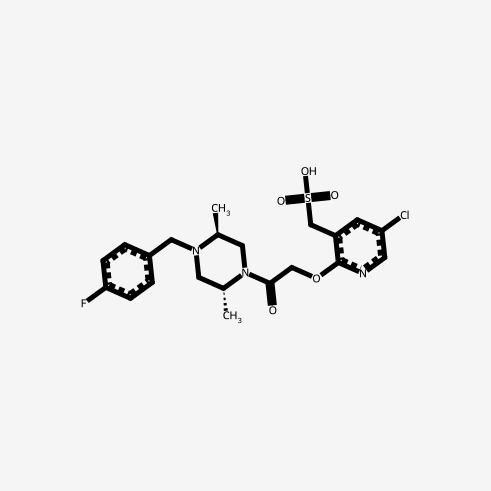 C[C@@H]1CN(Cc2ccc(F)cc2)[C@@H](C)CN1C(=O)COc1ncc(Cl)cc1CS(=O)(=O)O